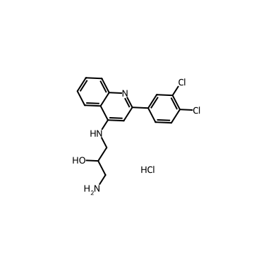 Cl.NCC(O)CNc1cc(-c2ccc(Cl)c(Cl)c2)nc2ccccc12